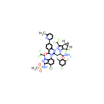 Cc1cccc(-c2ccc3c(=O)n(-c4ccc(Cl)c5c(NS(C)(=O)=O)nn(CC(F)F)c45)c([C@@H](Cc4cc(F)cc(F)c4)C(C(N)=O)n4nc(C(F)F)c5c4C(F)(F)[C@@H]4C[C@H]54)nc3c2)n1